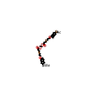 CSC1CC2C3CC(OCCCSCCC(=O)OCCOC(=O)CCSCCCOC4CC5CC4C4CC(SC(C)=O)CC54)C(C3)C2C1